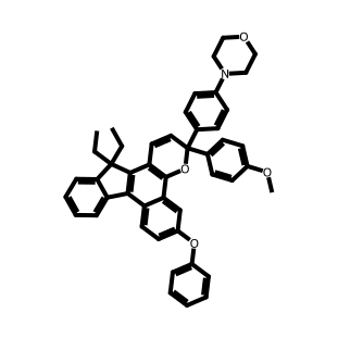 CCC1(CC)c2ccccc2-c2c1c1c(c3cc(Oc4ccccc4)ccc23)OC(c2ccc(OC)cc2)(c2ccc(N3CCOCC3)cc2)C=C1